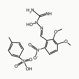 COc1ccc([N+](=O)[O-])c(/C=N/N(O)C(=N)N)c1OC.Cc1ccc(S(=O)(=O)O)cc1